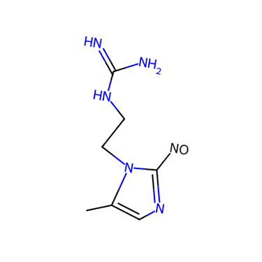 Cc1cnc(N=O)n1CCNC(=N)N